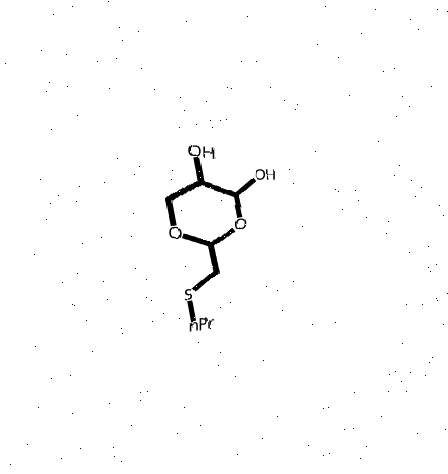 CCCSCC1OCC(O)C(O)O1